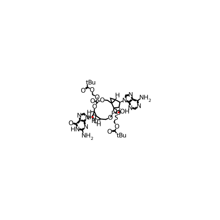 CC(C)(C)C(=O)OCO[P@]1(=O)OCC23C[C@@H]2[C@@H](n2cnc4c(N)ncnc42)[C@H](O)[C@@H]3[P@](=O)(SCOC(=O)C(C)(C)C)OC[C@H]2O[C@@H](n3cnc4c(=O)[nH]c(N)nc43)[C@H](O1)[C@@H]2O